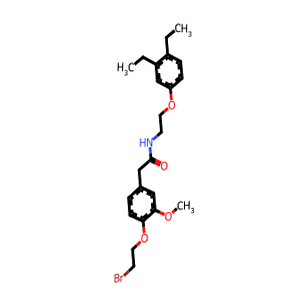 CCc1ccc(OCCNC(=O)Cc2ccc(OCCBr)c(OC)c2)cc1CC